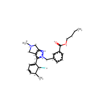 CCCCOC(=O)c1cccc(Cn2nc3c(c2C2=CC=CC(C)C2F)CN(C)C3)c1